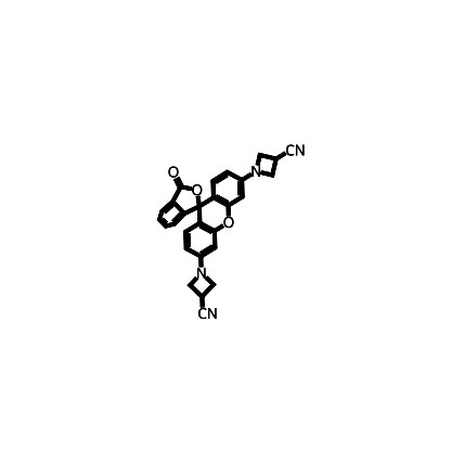 N#CC1CN(c2ccc3c(c2)Oc2cc(N4CC(C#N)C4)ccc2C32OC(=O)c3ccccc32)C1